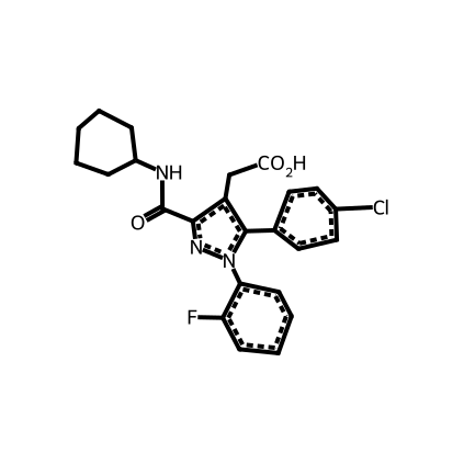 O=C(O)Cc1c(C(=O)NC2CCCCC2)nn(-c2ccccc2F)c1-c1ccc(Cl)cc1